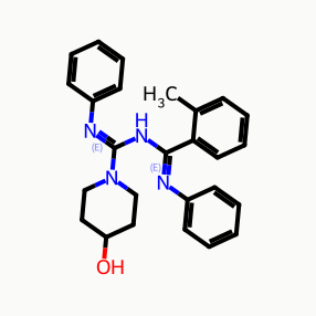 Cc1ccccc1/C(=N\c1ccccc1)N/C(=N\c1ccccc1)N1CCC(O)CC1